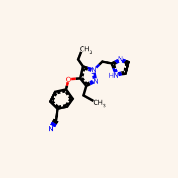 CCc1nn(Cc2ncc[nH]2)c(CC)c1Oc1ccc(C#N)cc1